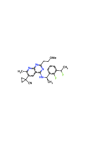 COCCc1nc(N[C@H](C)c2cccc(C(C)F)c2F)c2cc(C3(C#N)CC3)c(C)nc2n1